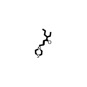 CCCC(CC)C(=O)/C=C/CN1CCSCC1